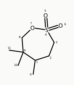 CC1CCS(=O)(=O)OCC1(C)C